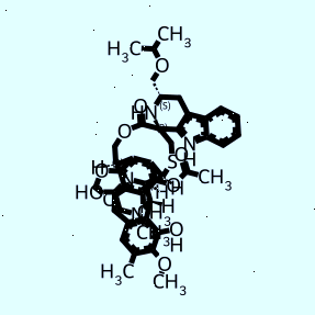 COc1c(C)cc2c(c1O)[C@H]1[C@@H]3[C@@H]4SC[C@]5(N[C@H](COC(C)C)Cc6c5[nH]c5ccccc65)C(=O)OC[C@@H](c5c6c(c(C)c(OC(C)=O)c54)OCO6)N3C(O)(C2)CN1C